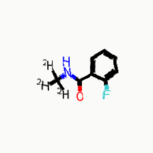 [2H]C([2H])([2H])NC(=O)c1ccccc1F